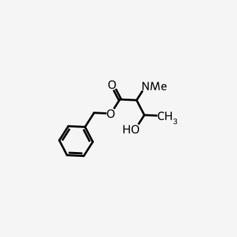 CNC(C(=O)OCc1ccccc1)C(C)O